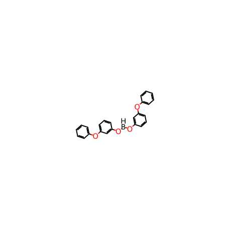 B(Oc1cccc(Oc2ccccc2)c1)Oc1cccc(Oc2ccccc2)c1